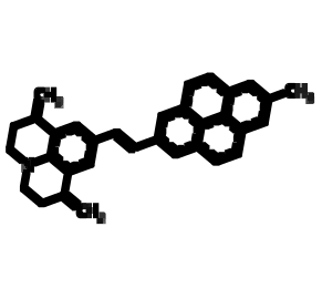 C=C1CCN2CCC(=C)c3cc(C=Cc4cc5ccc6cc(C)cc7ccc(c4)c5c67)cc1c32